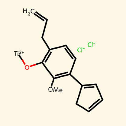 C=CCc1ccc(C2=CC=CC2)c(OC)c1[O][Ti+2].[Cl-].[Cl-]